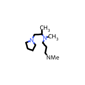 CNCCCN(C)C(C)CN1CCCC1